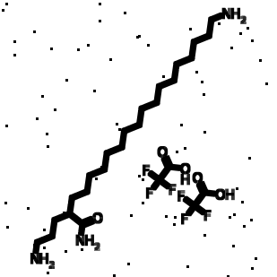 NCCCCCCCCCCCCCCCCCC(CCCN)C(N)=O.O=C(O)C(F)(F)F.O=C(O)C(F)(F)F